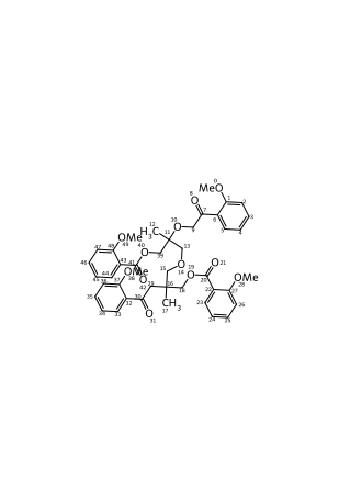 COc1ccccc1C(=O)COC(C)(COCC(C)(COC(=O)c1ccccc1OC)CC(=O)c1ccccc1OC)COC(=O)c1ccccc1OC